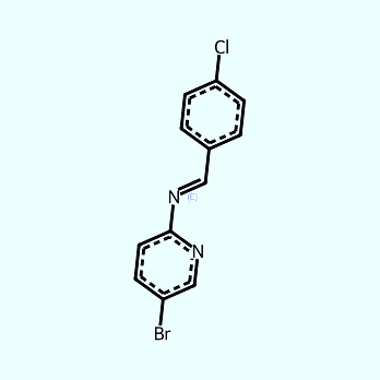 Clc1ccc(/C=N/c2ccc(Br)cn2)cc1